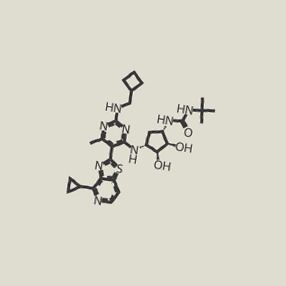 Cc1nc(NCC2CCC2)nc(N[C@@H]2C[C@H](NC(=O)NC(C)(C)C)[C@@H](O)[C@H]2O)c1-c1nc2c(C3CC3)nccc2s1